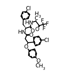 COc1ccc(OC(CC(=O)N[C@@H](Cc2ccc(Cl)cc2)C(=O)N[C@@H](C)C(=O)C(F)(F)F)c2ccc(Cl)cc2)cc1